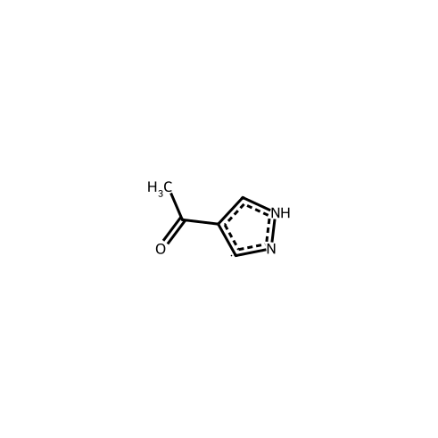 CC(=O)c1[c]n[nH]c1